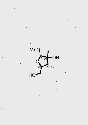 CO[C@H]1O[C@H](CO)[C@@H](C)[C@@]1(C)O